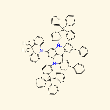 CC1(C)c2ccccc2N(c2cc3c4c(c2)N(c2cccc([Si](c5ccccc5)(c5ccccc5)c5ccccc5)c2)c2ccc(-c5ccccc5)cc2B4c2cc(-c4ccccc4)ccc2N3c2cccc([Si](c3ccccc3)(c3ccccc3)c3ccccc3)c2)c2ccccc21